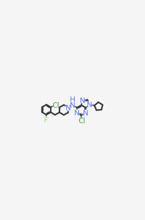 Fc1cccc(Cl)c1CC1CCN(Nc2nc(Cl)nc3c2ncn3C2CCCC2)CC1